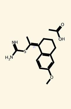 CC(=O)O.COc1ccc2c(c1)CCC/C2=C(\C)SC(=N)N